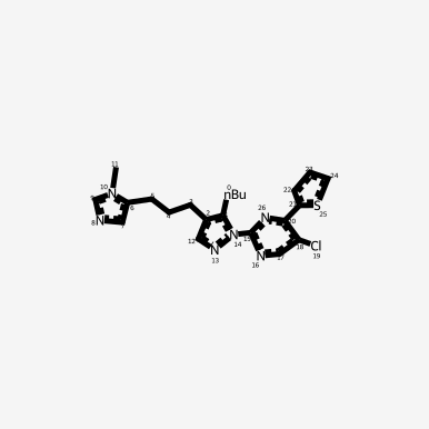 CCCCc1c(CCCc2cncn2C)cnn1-c1ncc(Cl)c(-c2cccs2)n1